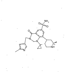 C[C@@H]1CC(c2cc(S(N)(=O)=O)cc3c2N(C2(C)CC2)CN(Cc2cnn(C)c2)C3=O)CCN1